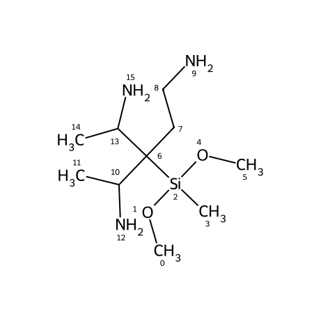 CO[Si](C)(OC)C(CCN)(C(C)N)C(C)N